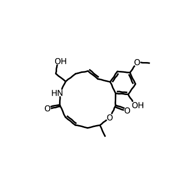 COc1cc(O)c2c(c1)/C=C/CC(CO)NC(=O)/C=C\CC(C)OC2=O